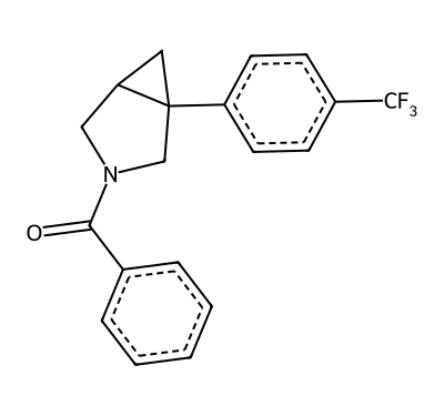 O=C(c1ccccc1)N1CC2CC2(c2ccc(C(F)(F)F)cc2)C1